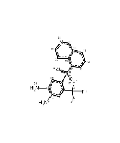 Nc1cc(C(F)(F)F)c(S(=O)(=O)c2cccc3cnccc23)cc1N